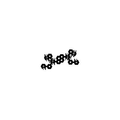 c1ccc(-c2cccc(-c3nc(-c4ccc5ccc6c(-c7nc(-c8cccc(-c9ccccn9)c8)nc(-c8cccc9nccnc89)n7)ccc7ccc4c5c76)nc(-c4cccc5nccnc45)n3)c2)nc1